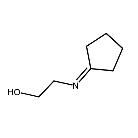 OCCN=C1CCCC1